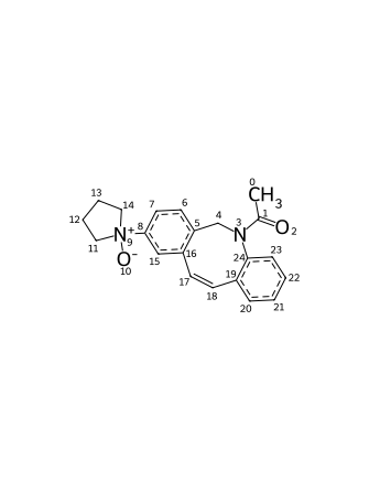 CC(=O)N1Cc2ccc([N+]3([O-])CCCC3)cc2/C=C\c2ccccc21